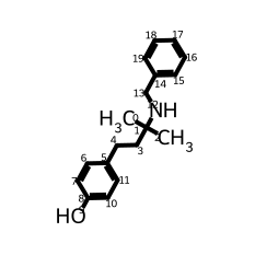 CC(C)(CCc1ccc(O)cc1)NCc1ccccc1